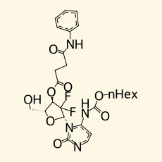 CCCCCCOC(=O)Nc1ccnc(=O)n1[C@@H]1O[C@H](CO)[C@@H](OC(=O)CCC(=O)Nc2ccccc2)C1(F)F